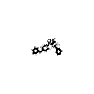 O=CN(c1c[nH]c(-c2ccccc2)n1)N1CCC(Cc2ccccc2)CC1